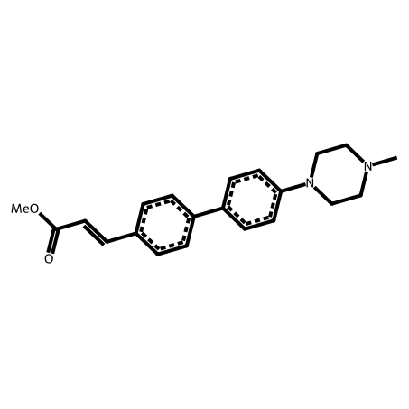 COC(=O)/C=C/c1ccc(-c2ccc(N3CCN(C)CC3)cc2)cc1